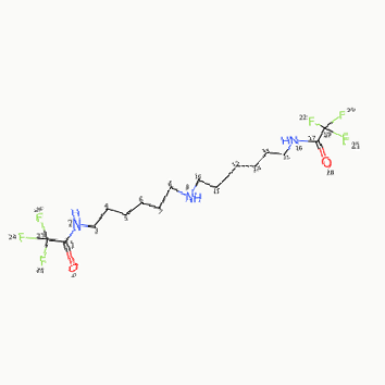 O=C(NCCCCCCNCCCCCCNC(=O)C(F)(F)F)C(F)(F)F